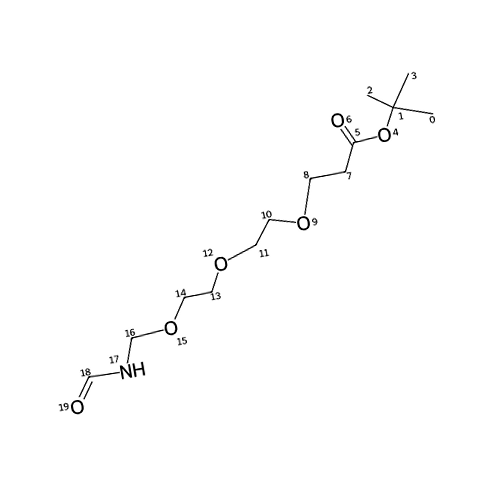 CC(C)(C)OC(=O)CCOCCOCCOCNC=O